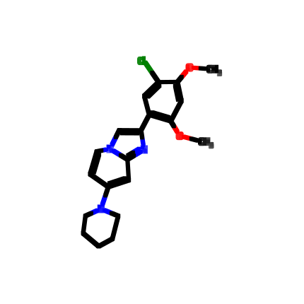 COc1cc(OC)c(-c2cn3ccc(N4CCCCC4)cc3n2)cc1Cl